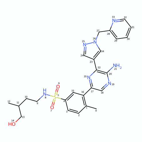 Cc1ccc(S(=O)(=O)NCCC(C)CO)cc1-c1cnc(N)c(-c2cnn(Cc3ccccn3)c2)n1